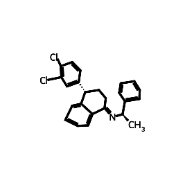 C[C@@H](/N=C1\CC[C@@H](c2ccc(Cl)c(Cl)c2)c2ccccc21)c1ccccc1